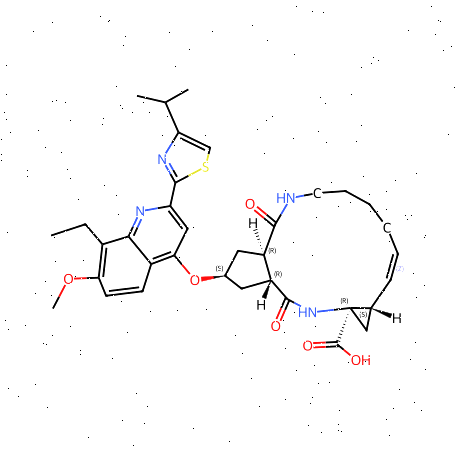 CCc1c(OC)ccc2c(O[C@H]3C[C@H]4C(=O)NCCCC/C=C\[C@@H]5C[C@@]5(C(=O)O)NC(=O)[C@@H]4C3)cc(-c3nc(C(C)C)cs3)nc12